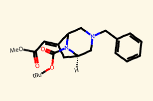 COC(=O)/C=C1\C[C@@H]2CN(Cc3ccccc3)CC1N2C(=O)OC(C)(C)C